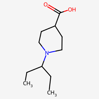 CCC(CC)N1CCC(C(=O)O)CC1